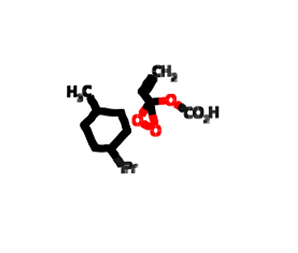 C=CC1(OC(=O)O)OO1.CC1CCC(C(C)C)CC1